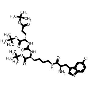 CC(C)(C)OC(=O)CC[C@H](NC(=O)N[C@@H](CCCCNC(=O)[C@H](N)Cc1csc2ccc(Cl)cc12)C(=O)OC(C)(C)C)C(=O)OC(C)(C)C